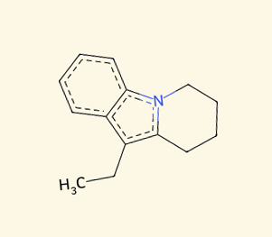 CCc1c2n(c3ccccc13)CCCC2